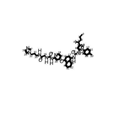 CCCC(I)c1cc(NC(=O)Nc2ccc(Oc3ccnc(NC(=O)NCC(=O)NCCCn4ccnc4)c3)c3ccccc23)n(-c2ccc(C)cc2)n1